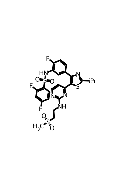 CC(C)c1nc(-c2ccc(F)c(NS(=O)(=O)c3ccc(F)cc3F)c2)c(-c2ccnc(NCCS(C)(=O)=O)n2)s1